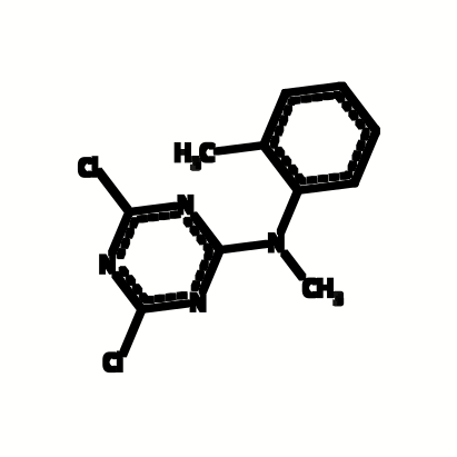 Cc1ccccc1N(C)c1nc(Cl)nc(Cl)n1